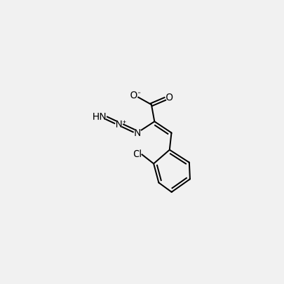 N=[N+]=N/C(=C\c1ccccc1Cl)C(=O)[O-]